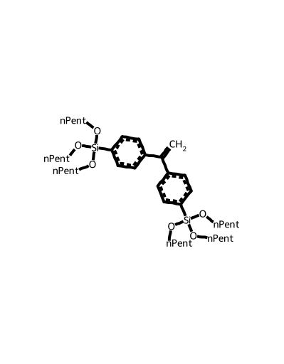 C=C(c1ccc([Si](OCCCCC)(OCCCCC)OCCCCC)cc1)c1ccc([Si](OCCCCC)(OCCCCC)OCCCCC)cc1